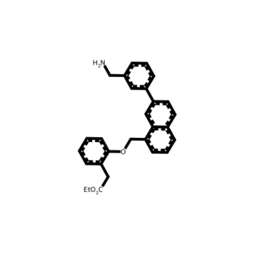 CCOC(=O)Cc1ccccc1OCc1cccc2ccc(-c3cccc(CN)c3)cc12